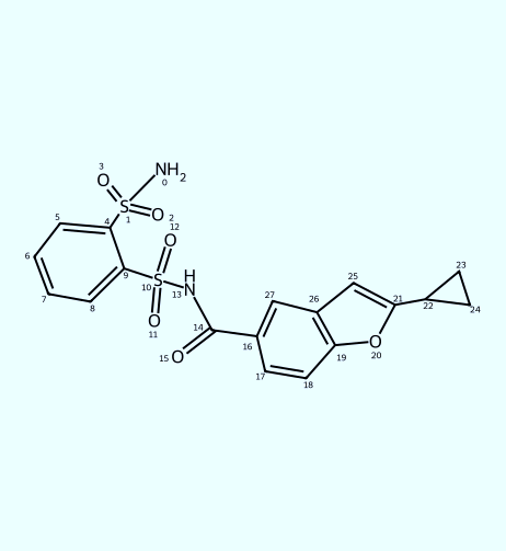 NS(=O)(=O)c1ccccc1S(=O)(=O)NC(=O)c1ccc2oc(C3CC3)cc2c1